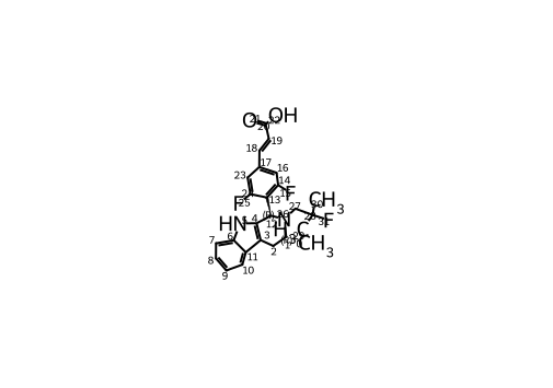 C[C@@H]1Cc2c([nH]c3ccccc23)[C@@H](c2c(F)cc(C=CC(=O)O)cc2F)N1CC(C)(C)F